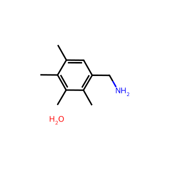 Cc1cc(CN)c(C)c(C)c1C.O